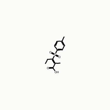 CC/C(=C(/C)C(=O)O)S(=O)(=O)c1ccc(C)cc1